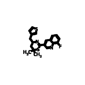 CC1(C)CC(Cc2ccsc2)N=C(c2cnc3c(F)cccc3c2)S1